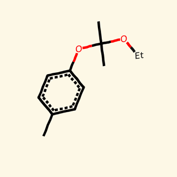 CCOC(C)(C)Oc1ccc(C)cc1